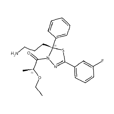 CCO[C@@H](C)C(=O)N1N=C(c2cccc(F)c2)S[C@@]1(CCCN)c1ccccc1